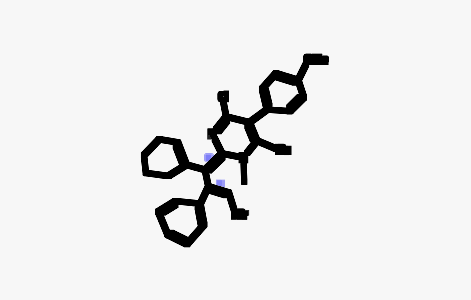 CCC/C=C(/C(C1=CCCCC1)=C1/N=C(Cl)C(c2ccc(OC)cc2)=C(C(C)CC)N1C)c1ccccc1